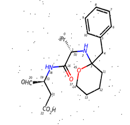 CC(C)[C@H](NC1(Cc2ccccc2)CCCCO1)C(=O)N[C@H](C=O)CC(=O)O